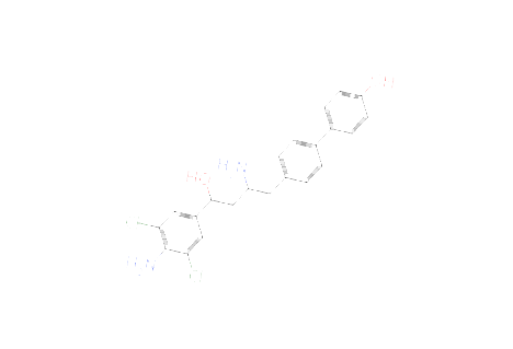 Nc1c(Cl)cc(C(O)CC(N)Cc2ccc(-c3ccc(O)cc3)cc2)cc1Cl